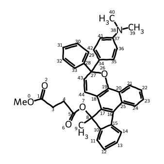 COC(=O)CCC(=O)OC1(C)c2ccccc2-c2c1c1c(c3ccccc23)OC(c2ccccc2)(c2ccc(N(C)C)cc2)C=C1